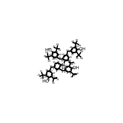 C=C(C)c1cc(Cc2cc(Cc3cc(C(=C)C)c(O)c(C(C)(C)C)c3)ccc2Nc2ccc(Cc3cc(C(C)(C)C)c(O)c(C(C)(C)C)c3)cc2Cc2cc(C(C)(C)C)c(O)c(C(C)(C)C)c2)cc(C(=C)C)c1O